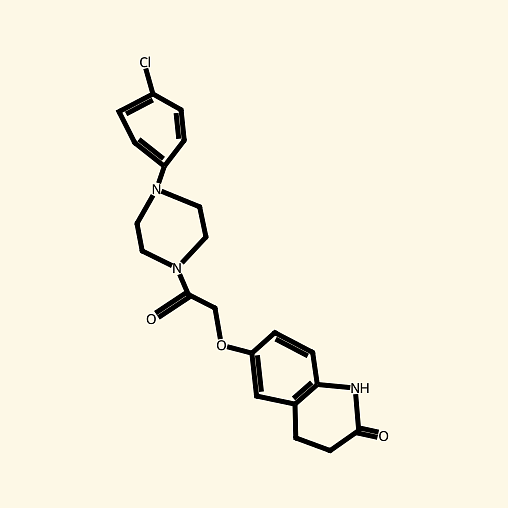 O=C1CCc2cc(OCC(=O)N3CCN(c4ccc(Cl)cc4)CC3)ccc2N1